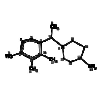 Cc1c(O)ccc(C(C)N2CCC(N)CC2)c1C